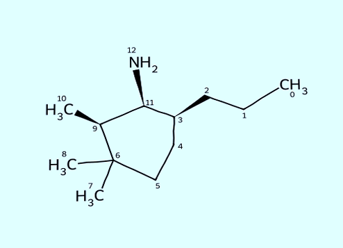 CCC[C@H]1CCC(C)(C)[C@@H](C)[C@H]1N